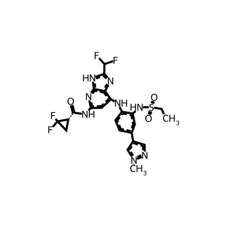 CCS(=O)(=O)Nc1cc(-c2cnn(C)c2)ccc1Nc1cc(NC(=O)[C@@H]2CC2(F)F)nc2[nH]c(C(F)F)nc12